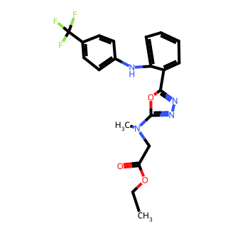 CCOC(=O)CN(C)c1nnc(-c2ccccc2Nc2ccc(C(F)(F)F)cc2)o1